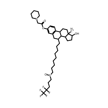 CC12CCC3c4ccc(OC(=O)CN5CCCCC5)cc4CC(CCCCCCCCC[S+]([O-])CCCC(F)(F)C(F)(F)F)C3C1CCC2O